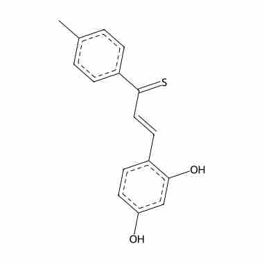 Cc1ccc(C(=S)C=Cc2ccc(O)cc2O)cc1